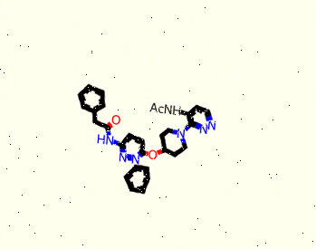 CC(=O)Nc1ccnnc1N1CCC(Oc2ccc(NC(=O)Cc3ccccc3)nn2)CC1.c1ccccc1